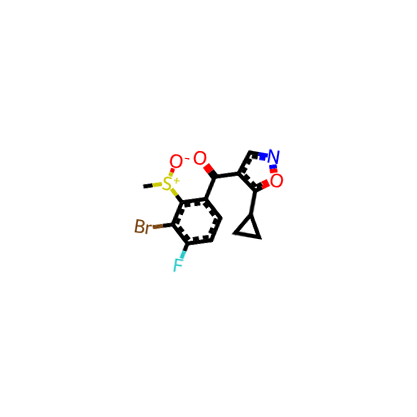 C[S+]([O-])c1c(C(=O)c2cnoc2C2CC2)ccc(F)c1Br